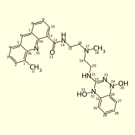 Cc1cccc2cc3cccc(C(=O)NCCN(C)CCNC4=NN(O)c5ccccc5N4O)c3nc12